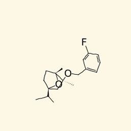 CC(C)[C@@]12CC[C@@](C)(O1)[C@@](C)(OCc1cccc(F)c1)C2